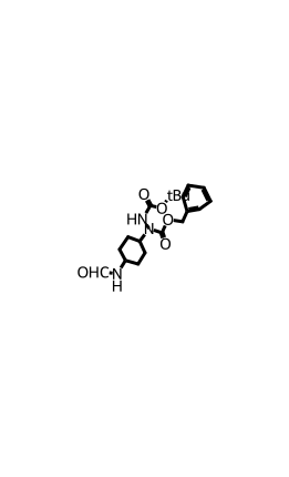 CC(C)(C)OC(=O)NN(C(=O)OCc1ccccc1)C1CCC(NC=O)CC1